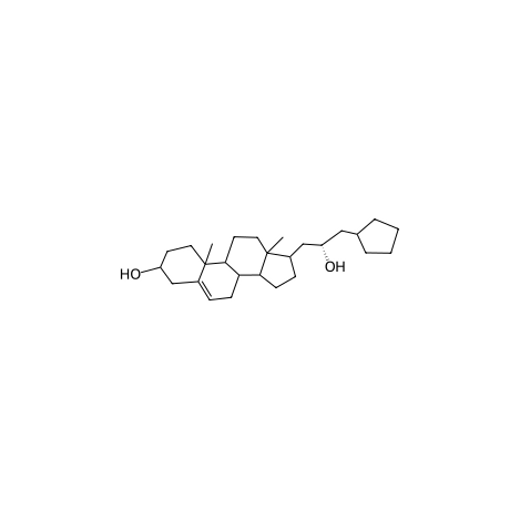 CC12CCC(O)CC1=CCC1C2CCC2(C)C(C[C@@H](O)CC3CCCC3)CCC12